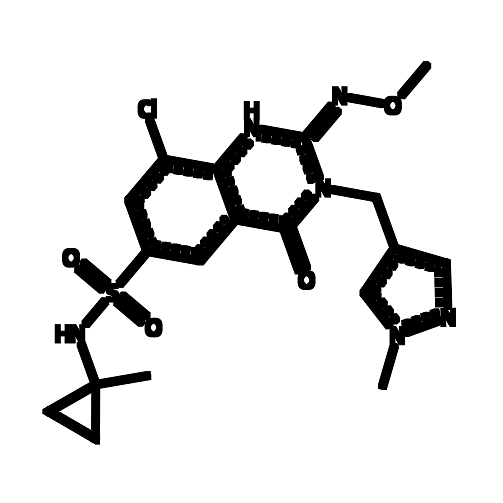 CON=c1[nH]c2c(Cl)cc(S(=O)(=O)NC3(C)CC3)cc2c(=O)n1Cc1cnn(C)c1